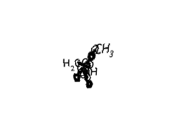 C=CC[C@@H]1OC(c2ccc(OC)cc2)OC[C@H]1N(NC(=O)OCc1ccccc1)C(=O)OCc1ccccc1